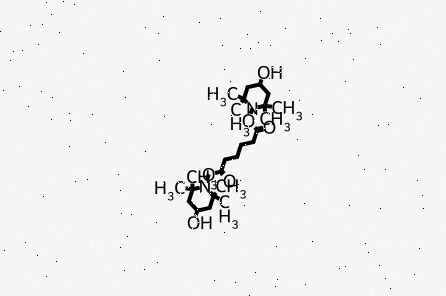 CC1(C)CC(O)CC(C)(C)N1OC(=O)CCCCC(=O)ON1C(C)(C)CC(O)CC1(C)C